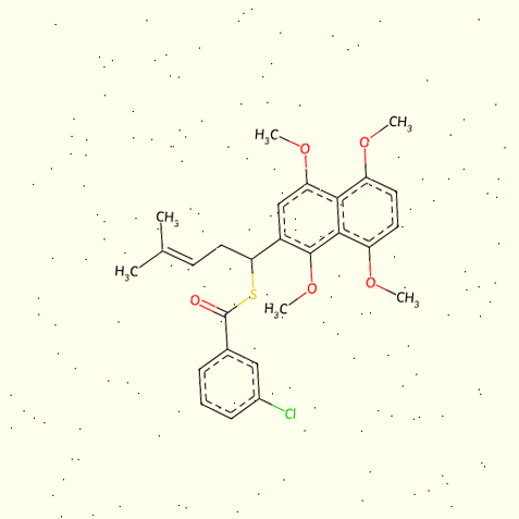 COc1ccc(OC)c2c(OC)c(C(CC=C(C)C)SC(=O)c3cccc(Cl)c3)cc(OC)c12